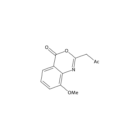 COc1cccc2c(=O)oc(CC(C)=O)nc12